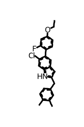 CCOc1ccc(-c2cc3cc(Cc4ccc(C)c(C)c4)[nH]c3cc2Cl)c(F)c1